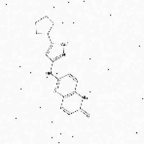 O=c1ccc2nc(Nc3cc(C4CCCC4)[nH]n3)ccc2[nH]1